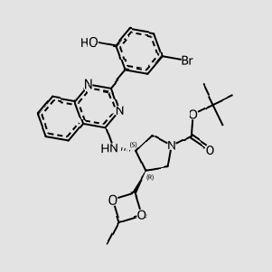 CC1OC([C@@H]2CN(C(=O)OC(C)(C)C)C[C@H]2Nc2nc(-c3cc(Br)ccc3O)nc3ccccc23)O1